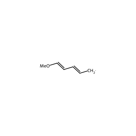 [CH2]C=CC=CO[CH2]